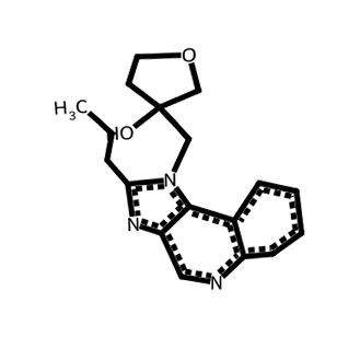 CCCc1nc2cnc3ccccc3c2n1CC1(O)CCOC1